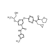 C[C@@H](CO)Oc1cc(Oc2cnc(N(CC3CC3)C(=O)[C@@H]3CCCO3)cn2)cc(C(=O)Nc2ccn(C)n2)c1